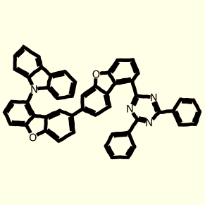 c1ccc(-c2nc(-c3ccccc3)nc(-c3cccc4oc5cc(-c6ccc7oc8cccc(-n9c%10ccccc%10c%10ccccc%109)c8c7c6)ccc5c34)n2)cc1